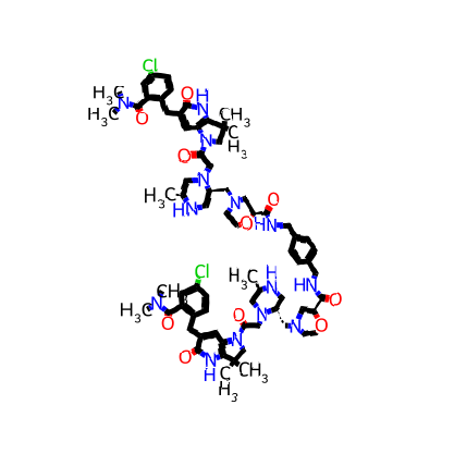 C[C@@H]1CN(CC(=O)N2CC(C)(C)c3[nH]c(=O)c(Cc4ccc(Cl)cc4C(=O)N(C)C)cc32)[C@@H](CN2CCO[C@H](C(=O)NCc3ccc(CNC(=O)[C@@H]4CN(C[C@H]5CN[C@H](C)CN5CC(=O)N5CC(C)(C)c6[nH]c(=O)c(Cc7ccc(Cl)cc7C(=O)N(C)C)cc65)CCO4)cc3)C2)CN1